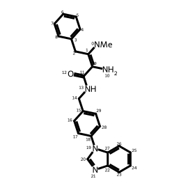 CN/C(Cc1ccccc1)=C(\N)C(=O)NCc1ccc(-n2cnc3ccccc32)cc1